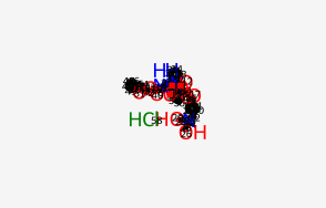 CC(NC(=O)C(C)(Cc1cn(C(=O)OCOC(=O)c2ccc(CN(CCO)CCO)cc2)c2ccccc12)NC(=O)OCc1cc2ccccc2o1)c1ccccc1.Cl